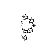 CCn1nccc1-c1nn2c3cc(ncc13)Nc1ccnc(n1)-c1cnn(C)c1OCCCC2C